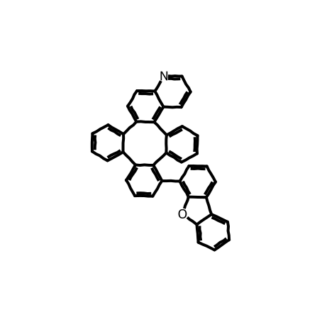 c1ccc2c(c1)-c1cccc(-c3cccc4c3oc3ccccc34)c1-c1ccccc1-c1c-2ccc2ncccc12